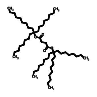 CCCCCCCCCC(CCCCCCCC)(CCCCCCCC)OC(=O)CCC(=O)OC(CCCCCCCC)(CCCCCCCC)CCCCCCCCC